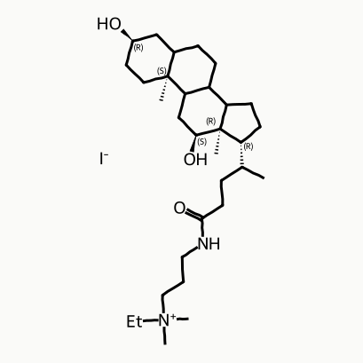 CC[N+](C)(C)CCCNC(=O)CCC(C)[C@H]1CCC2C3CCC4C[C@H](O)CC[C@]4(C)C3C[C@H](O)[C@@]21C.[I-]